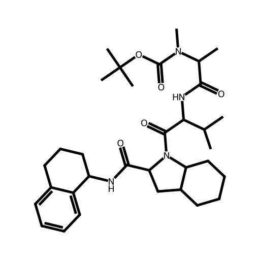 CC(C)C(NC(=O)C(C)N(C)C(=O)OC(C)(C)C)C(=O)N1C(C(=O)NC2CCCc3ccccc32)CC2CCCCC21